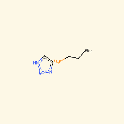 CCCCCCP.c1c[nH]nn1